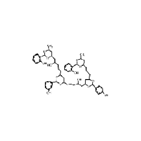 CC1CC(CCCC2CC(CC(O)CCCC3CC(CCCC(O)CC4C[C@H](C)OC(c5ccccc5O)O4)OC(c4cccc(O)c4)O3)OC(c3ccc(C#N)cc3)O2)OC(c2ccccc2O)O1